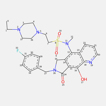 CCN1CCN(CCS(=O)(=O)N(C)c2c3c(c(O)c4ncccc24)C(=O)N(Cc2ccc(F)cc2)C3)CC1